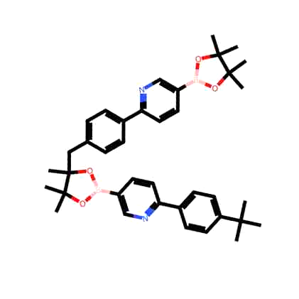 CC(C)(C)c1ccc(-c2ccc(B3OC(C)(C)C(C)(Cc4ccc(-c5ccc(B6OC(C)(C)C(C)(C)O6)cn5)cc4)O3)cn2)cc1